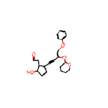 O=CCC1C(O)CCC1C#CC(COc1ccccc1)OC1CCCCO1